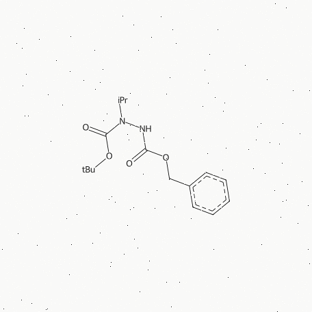 CC(C)N(NC(=O)OCc1ccccc1)C(=O)OC(C)(C)C